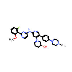 COc1cccc(F)c1-c1nccc(Nc2cc(N3CCC[C@H](O)C3)c(-c3ccc(N4CCN(C)CC4)cc3)cn2)n1